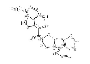 CCOC(=O)c1ccc(O)c2c(C(=O)C(=O)N3CCN(c4nccc5ccccc45)CC3)c[nH]c12